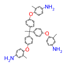 Cc1cc(N)ccc1Oc1ccc(C(C)(c2ccc(Oc3ccc(N)cc3C)cc2)c2ccc(Oc3ccc(N)cc3C)cc2)cc1